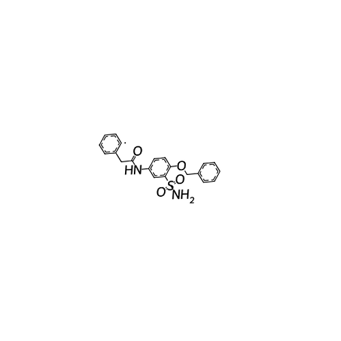 NS(=O)(=O)c1cc(NC(=O)Cc2[c]cccc2)ccc1OCc1ccccc1